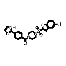 O=C(c1ccc(-c2ncc[nH]2)cc1)N1CCN(S(=O)(=O)c2cc3cc(Cl)ccc3o2)CC1